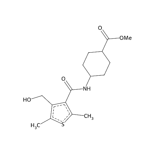 COC(=O)C1CCC(NC(=O)c2c(C)sc(C)c2CO)CC1